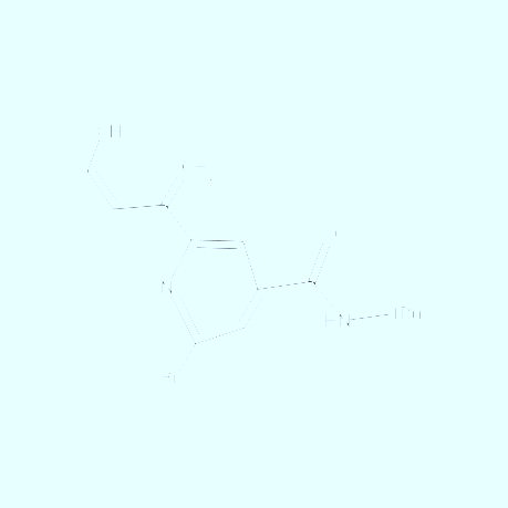 C=C(/C=C\C)c1cc(C(=O)NC(C)(C)C)cc(Br)n1